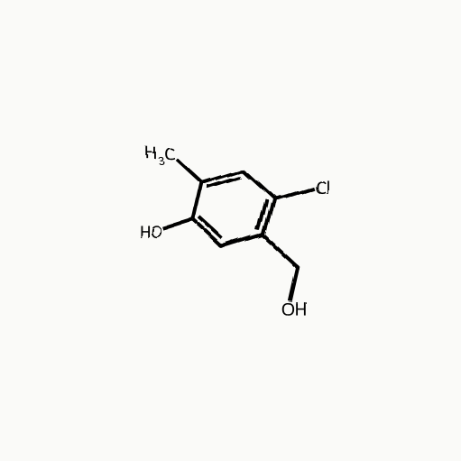 Cc1cc(Cl)c(CO)cc1O